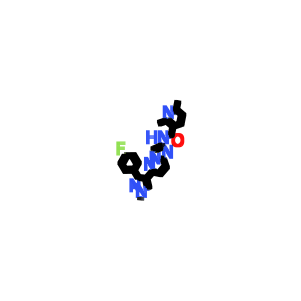 Cc1ccc(C(=O)Nc2cn3nc(-c4cn(C)nc4-c4ccc(F)cc4)ccc3n2)c(C)n1